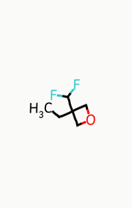 CCC1(C(F)F)COC1